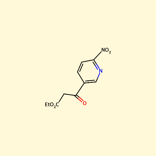 CCOC(=O)CC(=O)c1ccc([N+](=O)[O-])nc1